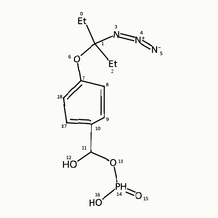 CCC(CC)(N=[N+]=[N-])Oc1ccc(C(O)O[PH](=O)O)cc1